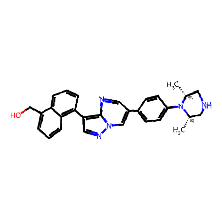 C[C@@H]1CNC[C@H](C)N1c1ccc(-c2cnc3c(-c4cccc5c(CO)cccc45)cnn3c2)cc1